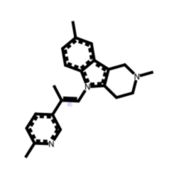 C/C(=C\n1c2c(c3cc(C)ccc31)CN(C)CC2)c1ccc(C)nc1